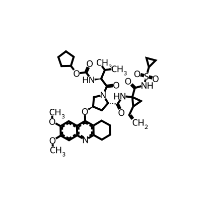 C=CC1CC1(NC(=O)[C@@H]1C[C@@H](Oc2c3c(nc4cc(OC)c(OC)cc24)CCCC3)CN1C(=O)[C@@H](NC(=O)OC1CCCC1)C(C)C)C(=O)NS(=O)(=O)C1CC1